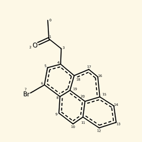 CC(=O)Cc1cc(Br)c2ccc3cccc4ccc1c2c34